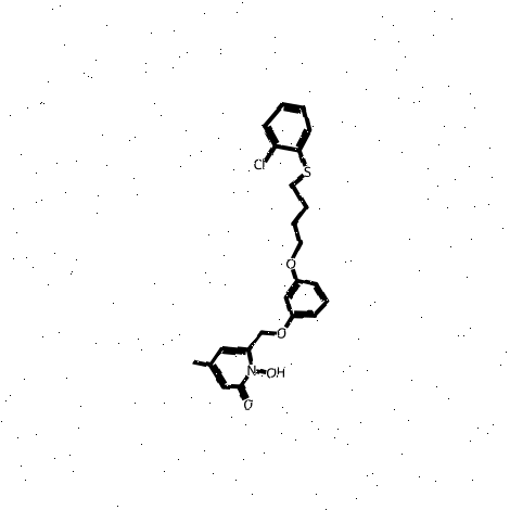 Cc1cc(COc2cccc(OCCCCSc3ccccc3Cl)c2)n(O)c(=O)c1